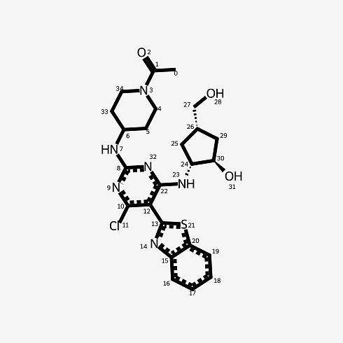 CC(=O)N1CCC(Nc2nc(Cl)c(-c3nc4ccccc4s3)c(N[C@@H]3C[C@H](CO)C[C@H]3O)n2)CC1